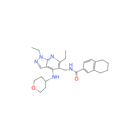 CCc1nc2c(cnn2CC)c(NC2CCOCC2)c1CNC(=O)c1ccc2c(c1)CCCC2